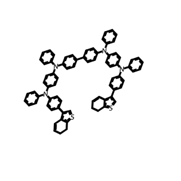 C1=Cc2c(-c3ccc(N(c4ccccc4)c4ccc(N(c5ccccc5)c5ccc(-c6ccc(N(c7ccccc7)c7ccc(N(c8ccccc8)c8ccc(-c9csc%10c9C=CCC%10)cc8)cc7)cc6)cc5)cc4)cc3)csc2CC1